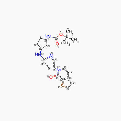 CC(C)(C)OC(=O)N[C@H]1CC[C@H](Nc2ccc(-n3ccc4ccsc4c3=O)cn2)C1